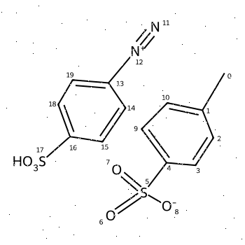 Cc1ccc(S(=O)(=O)[O-])cc1.N#[N+]c1ccc(S(=O)(=O)O)cc1